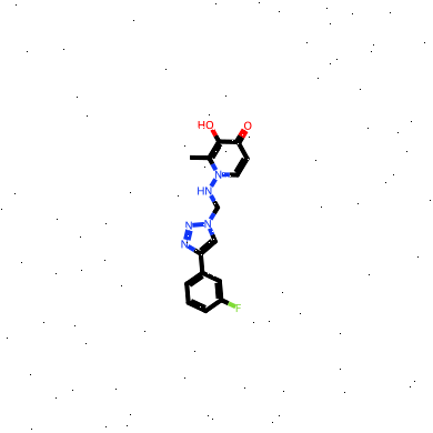 Cc1c(O)c(=O)ccn1NCn1cc(-c2cccc(F)c2)nn1